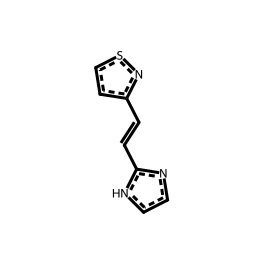 C(=Cc1ncc[nH]1)c1ccsn1